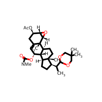 CNC(=O)O[C@@H]1C=C2C[C@@H](OC(C)=O)[C@@H]3O[C@@H]3[C@]2(C)[C@H]2CC[C@]3(C)[C@@H](C(C)C4OCC(C)(C)CO4)CC[C@H]3[C@H]12